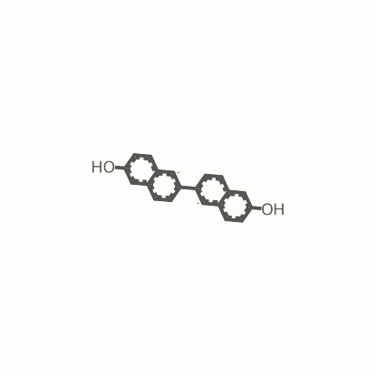 Oc1ccc2[c]c(-c3[c]c4ccc(O)cc4cc3)ccc2c1